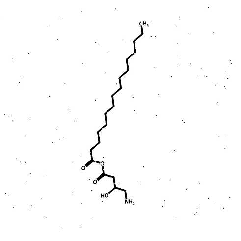 CCCCCCCCCCCCCCCC(=O)OC(=O)CC(O)CN